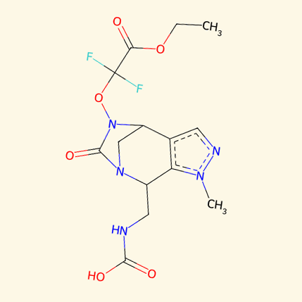 CCOC(=O)C(F)(F)ON1C(=O)N2CC1c1cnn(C)c1C2CNC(=O)O